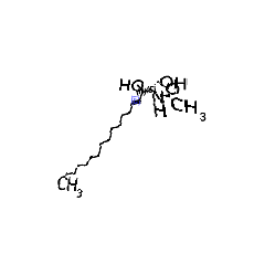 CCCCCCCCCCCCC/C=C/[C@@H](O)[C@H](CO)NC(C)=O